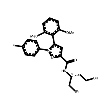 COc1cccc(OC)c1-c1cc(C(=O)N[C@H](CCO)CC(C)C)nn1-c1ccc(F)cc1